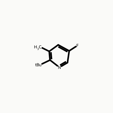 Cc1cc(F)cnc1C(C)(C)C